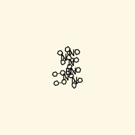 c1ccc(-c2cccc(N3c4cc(-c5ccccc5)ccc4B4c5ccc(-n6c7ccccc7c7c8c(c9ccccc9n8-c8ccccc8)c8c(c9ccccc9n8-c8ccccc8)c76)cc5N(c5ccccc5)c5cc(-n6c7ccccc7c7ccccc76)cc3c54)c2)cc1